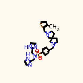 Cc1ccsc1CN1CCC2(CCN(Cc3ccc(S(=O)(=O)N(Cc4ncc[nH]4)Cc4ncc[nH]4)cc3)C2)C1